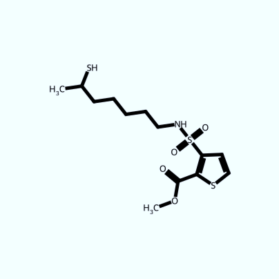 COC(=O)c1sccc1S(=O)(=O)NCCCCCC(C)S